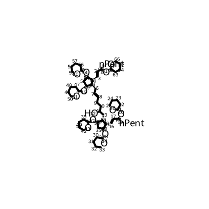 CCCCC[C@@H](C=C[C@H]1[C@@H](CC=CCCC(O)C[C@@H]2[C@H](C=C[C@H](CCCCC)OC3CCCCO3)[C@H](OC3CCCCO3)C[C@H]2OC2CCCCO2)[C@H](OC2CCCCO2)C[C@H]1OC1CCCCO1)OC1CCCCO1